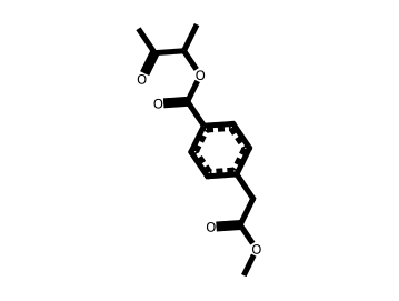 COC(=O)Cc1ccc(C(=O)OC(C)C(C)=O)cc1